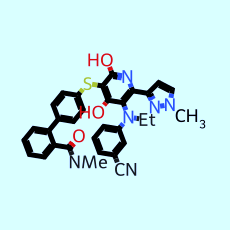 CCN(c1cccc(C#N)c1)c1c(-c2ccn(C)n2)nc(O)c(Sc2ccc(-c3ccccc3C(=O)NC)cc2)c1O